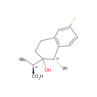 CC(C)[C@H]1c2ccc(F)cc2CCC1(O)[C@@H](C(=O)O)C(C)(C)C